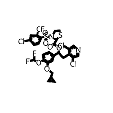 O=C(OC(Cc1c(Cl)cncc1Cl)c1ccc(OC(F)F)c(OCC2CC2)c1)C1SCCN1S(=O)(=O)c1ccc(Cl)cc1C(F)(F)F